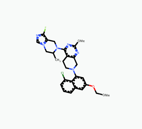 COCOc1cc(N2CCc3c(nc(OC)nc3N3Cc4c(F)ncn4CC3C)C2)c2c(Cl)cccc2c1